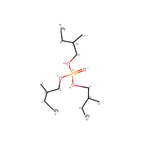 CC(C)CC(C)COP(=O)(OCC(C)CC(C)C)OCC(C)CC(C)C